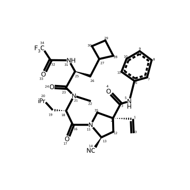 C=C[C@]1(C(=O)Nc2ccccc2)C[C@@H](C#N)N(C(=O)[C@H](CC(C)C)N(C)C(=O)[C@H](CC2CCC2)NC(=O)C(F)(F)F)C1